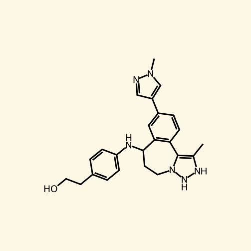 CC1=C2c3ccc(-c4cnn(C)c4)cc3C(Nc3ccc(CCO)cc3)CCN2NN1